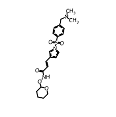 CN(C)Cc1ccc(S(=O)(=O)n2ccc(/C=C/C(=O)NOC3CCCCO3)c2)cc1